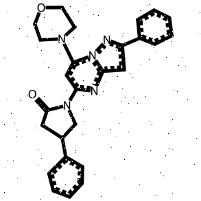 O=C1CC(c2ccccc2)CN1c1cc(N2CCOCC2)n2nc(-c3ccccc3)cc2n1